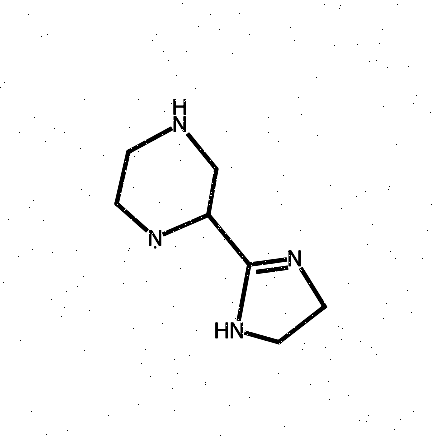 C1CNCC(C2=NCCN2)[N]1